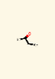 CCC(=O)[CH]C(C)=O